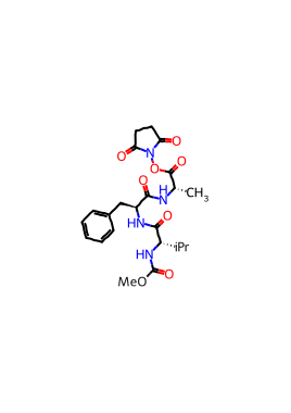 COC(=O)N[C@H](C(=O)N[C@@H](Cc1ccccc1)C(=O)N[C@@H](C)C(=O)ON1C(=O)CCC1=O)C(C)C